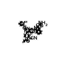 C=CC(=O)N1CCN(c2nc(OC[C@@H]3CCCN3C)nc3c2CCN(c2nc(OC(N)=O)cc4ccccc24)C3)C[C@@H]1CC#N